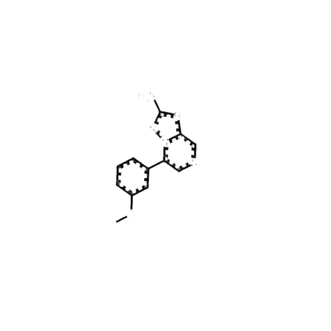 COc1cccc(-c2cncc3nc(N)nn23)c1